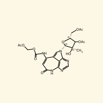 CC(=O)OCOC(=O)NC1=CC(=O)Nc2ncnc3c2c1cn3[C@@H]1O[C@H](COC(C)=O)C(OC(C)=O)[C@@]1(C)O